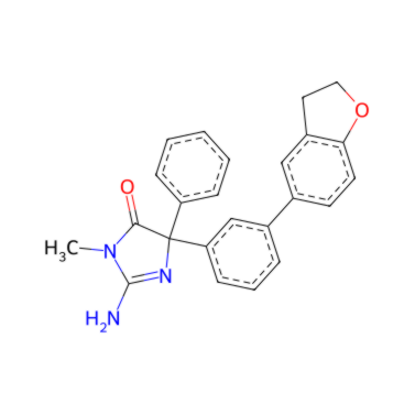 CN1C(=O)C(c2ccccc2)(c2cccc(-c3ccc4c(c3)CCO4)c2)N=C1N